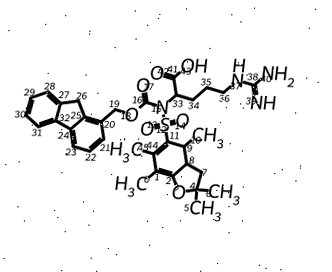 CC1=C2OC(C)(C)CC2C(C)C(S(=O)(=O)N(C(=O)OCc2cccc3c2Cc2ccccc2-3)C(CCCNC(=N)N)C(=O)O)=C1C